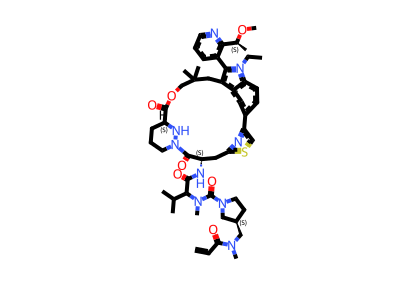 C=CC(=O)N(C)C[C@@H]1CCN(C(=O)N(C)C(C(=O)N[C@H]2Cc3nc(cs3)-c3ccc4c(c3)c(c(-c3cccnc3[C@H](C)OC)n4CC)CC(C)(C)COC(=O)[C@@H]3CCCN(N3)C2=O)C(C)C)C1